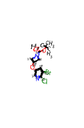 CC(C)(C)OC(=O)N1CC(Oc2cnc(Cl)c(Br)c2)C1